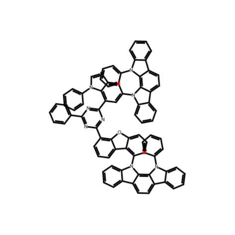 c1ccc(-c2nc(-c3cccc4c3oc3cccc(-n5c6ccccc6c6ccc7c8ccccc8n(-c8ccccc8)c7c65)c34)nc(-c3cc(-n4c5ccccc5c5ccc6c7ccccc7n(-c7ccccc7)c6c54)cc4ncn(-c5ccccc5)c34)n2)cc1